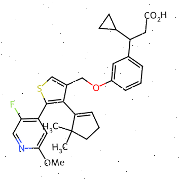 COc1cc(-c2scc(COc3cccc(C(CC(=O)O)C4CC4)c3)c2C2=CCCC2(C)C)c(F)cn1